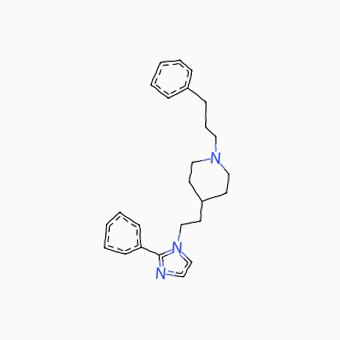 c1ccc(CCCN2CCC(CCn3ccnc3-c3ccccc3)CC2)cc1